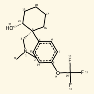 CN(C)C[C@@]1(c2ccc(OC(F)(F)F)cc2)CCCC[C@H]1O